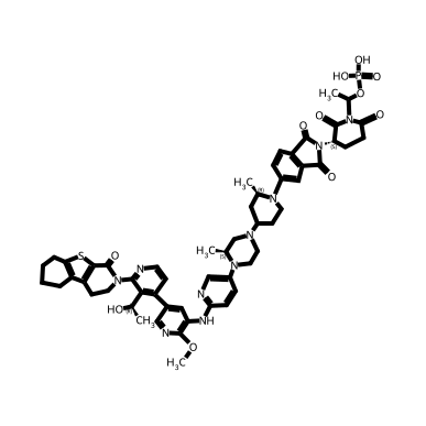 COc1ncc(-c2ccnc(N3CCc4c(sc5c4CCCC5)C3=O)c2[C@@H](C)O)cc1Nc1ccc(N2CCN(C3CCN(c4ccc5c(c4)C(=O)N([C@H]4CCC(=O)N(C(C)OP(=O)(O)O)C4=O)C5=O)[C@H](C)C3)C[C@@H]2C)cn1